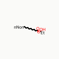 [CH2]CC(O)OC(=O)CCCCCCCCCCCCCCCCC